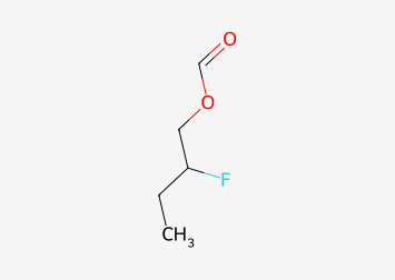 CCC(F)COC=O